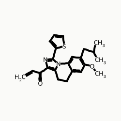 C=CC(=O)c1nc(-c2cccs2)n2c1CCc1cc(OC)c(CC(C)C)cc1-2